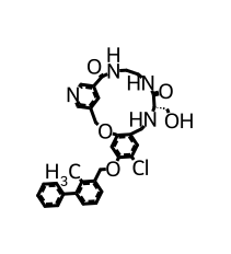 Cc1c(COc2cc3c(cc2Cl)CN[C@@H](CO)C(=O)NCCNC(=O)c2cncc(c2)CO3)cccc1-c1ccccc1